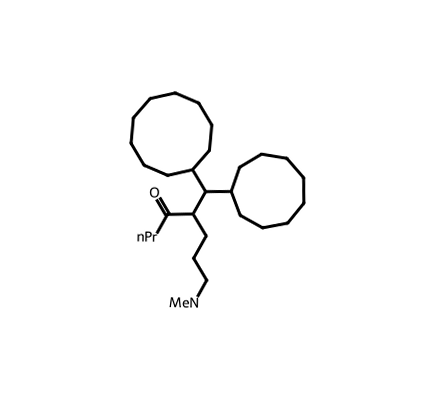 CCCC(=O)C(CCCNC)C(C1CCCCCCCCC1)C1CCCCCCCC1